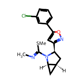 C/N=C(\SC)N1[C@@H](c2cc(-c3cccc(Cl)c3)on2)C[C@H]2C[C@H]21